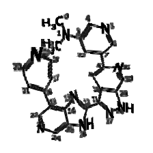 CN(C)c1cncc(-c2cc3c(-c4nc5c(-c6ccncc6)cncc5[nH]4)n[nH]c3cn2)c1